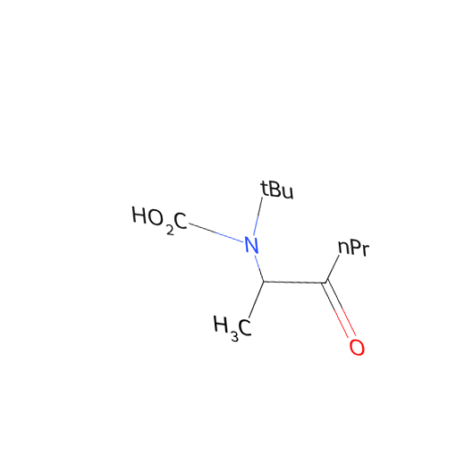 CCCC(=O)C(C)N(C(=O)O)C(C)(C)C